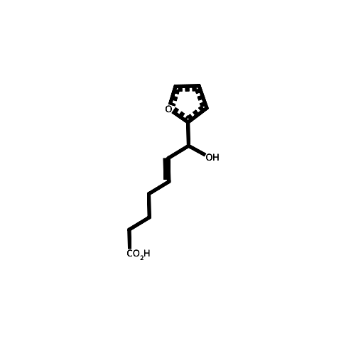 O=C(O)CCCC=CC(O)c1ccco1